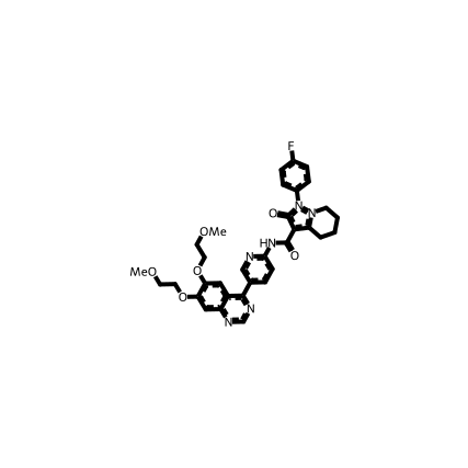 COCCOc1cc2ncnc(-c3ccc(NC(=O)c4c5n(n(-c6ccc(F)cc6)c4=O)CCCC5)nc3)c2cc1OCCOC